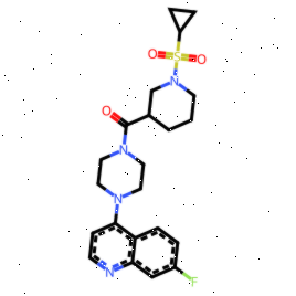 O=C(C1CCCN(S(=O)(=O)C2CC2)C1)N1CCN(c2ccnc3cc(F)ccc23)CC1